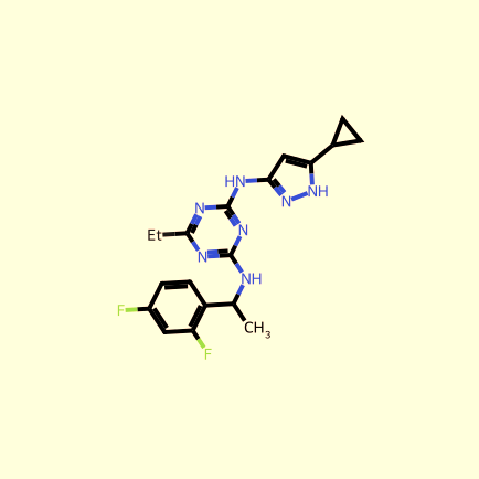 CCc1nc(Nc2cc(C3CC3)[nH]n2)nc(NC(C)c2ccc(F)cc2F)n1